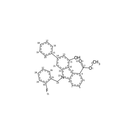 COC(=O)c1cccc2c1c1c(O)cc(-c3ccccc3)cc1n2Cc1ccccc1F